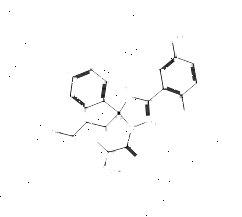 COc1ccc(F)c(C2=NN(C(=O)[C@H](C)OC)C(CCCN)(c3ccccc3)O2)c1